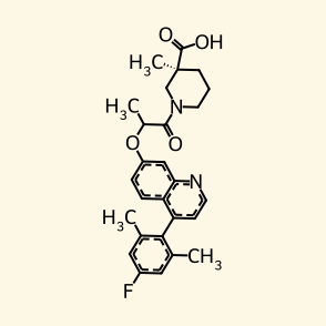 Cc1cc(F)cc(C)c1-c1ccnc2cc(OC(C)C(=O)N3CCC[C@](C)(C(=O)O)C3)ccc12